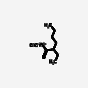 CCCCC(CC)[C](=O)[Zr+2].[Cl-].[Cl-]